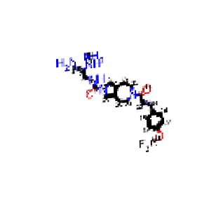 N/C=C(/CNC(=O)N1CC2CCN(C(=O)/C=C/c3ccc(OC(F)(F)F)cc3)CCC2C1)NN